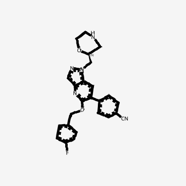 N#Cc1ccc(-c2cc3c(cnn3C[C@@H]3CNCCO3)nc2OCc2ccc(F)cc2)cc1